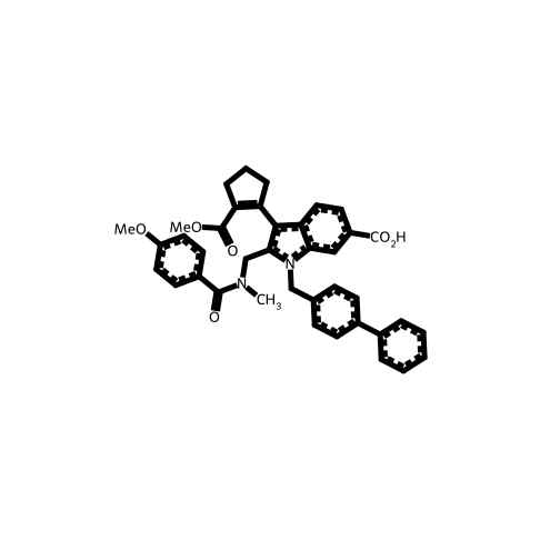 COC(=O)C1=C(c2c(CN(C)C(=O)c3ccc(OC)cc3)n(Cc3ccc(-c4ccccc4)cc3)c3cc(C(=O)O)ccc23)CCC1